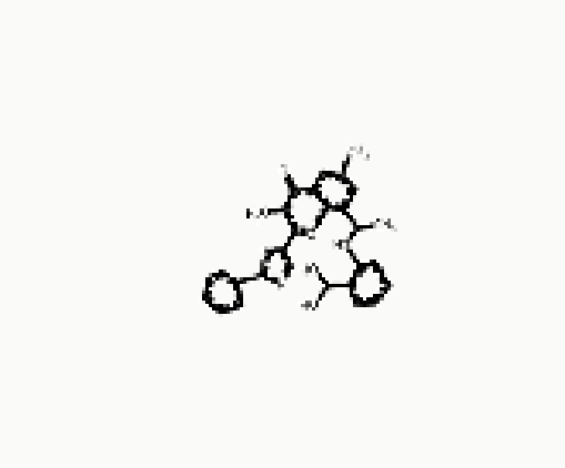 Cc1cc(C(C)Nc2ccccc2C(O)O)c2oc(-c3cnc(-c4ccccc4)s3)c(C)c(=O)c2c1